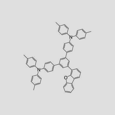 Cc1ccc(N(c2ccc(C)cc2)c2ccc(-c3cc(-c4ccc(N(c5ccc(C)cc5)c5ccc(C)cc5)cc4)cc(-c4cccc5c4oc4ccccc45)c3)cc2)cc1